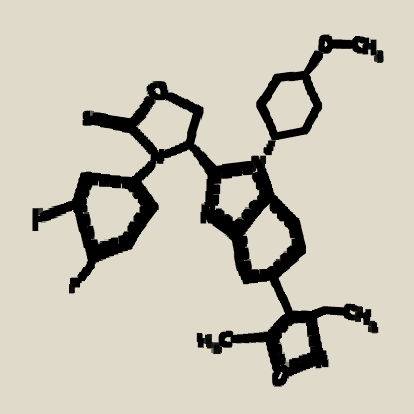 CO[C@H]1CC[C@H](n2c([C@@H]3COC(=S)N3c3ccc(F)c(F)c3)nc3cc(-c4c(C)noc4C)ccc32)CC1